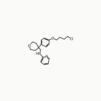 ClCCCCOc1ccc(C2(CNc3ccccn3)CCOCC2)cc1